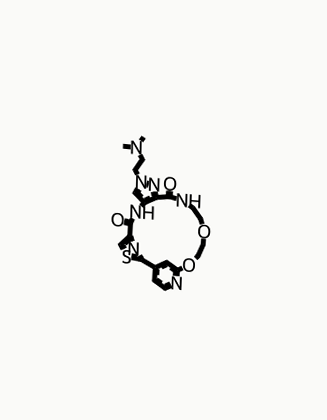 CN(C)CCn1cc2c(n1)C(=O)NCCOCCOc1cc(ccn1)-c1nc(cs1)C(=O)N2